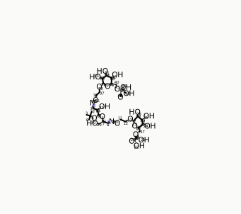 CC(C)(C)O[C@H](O[C@@H](/C=N/OCCOC1O[C@H](COP(=O)(O)O)[C@@H](O)[C@H](O)[C@@H]1O)CO)[C@H](O)/C=N\OCCOC1O[C@H](COP(=O)(O)O)[C@@H](O)[C@H](O)[C@@H]1O